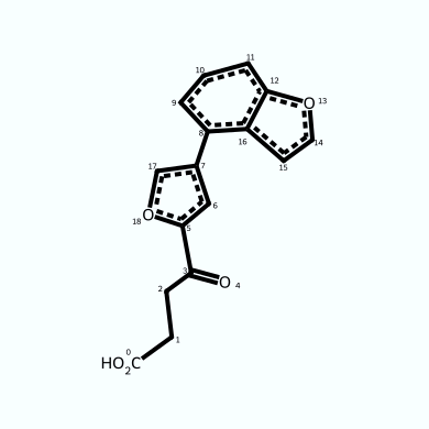 O=C(O)CCC(=O)c1cc(-c2cccc3occc23)co1